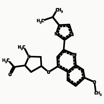 COc1ccc2c(OC3CC(C(C)=O)N(C)C3)cc(-c3nc(C(C)C)cs3)nc2c1